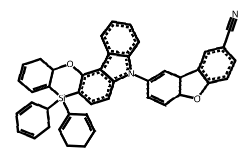 N#Cc1ccc2c(c1)C1C=C(n3c4ccccc4c4c5c(ccc43)[Si](C3=CCCC=C3)(C3C=CC=CC3)C3=CC=CCC3O5)C=CC1O2